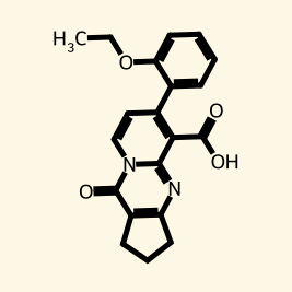 CCOc1ccccc1-c1ccn2c(=O)c3c(nc2c1C(=O)O)CCC3